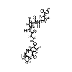 COC(=O)c1nc(NC(=O)c2nc(NC(=O)CCCOc3cc4c(cc3C)C(=O)N3CCC[C@H]3C=N4)cn2C)cn1C